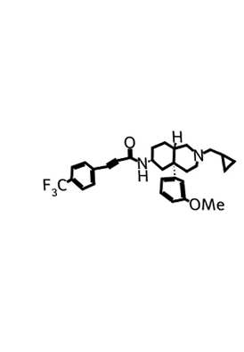 COc1cccc([C@@]23CCN(CC4CC4)C[C@H]2CC[C@@H](NC(=O)C#Cc2ccc(C(F)(F)F)cc2)C3)c1